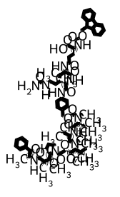 CC[C@H](C)[C@@H]([C@@H](CC(=O)N1CCC[C@H]1[C@H](OC)[C@@H](C)C(=O)N[C@H](C)[C@@H](O)c1ccccc1)OC)N(C)C(=O)[C@@H](NC(=O)[C@H](C(C)C)N(C)C(=O)OCc1ccc(NC(=O)[C@H](CCCNC(N)=O)NC(=O)[C@@H](NC(=O)CC[C@H](NC(=O)OCC2c3ccccc3-c3ccccc32)C(=O)O)C(C)C)cc1)C(C)C